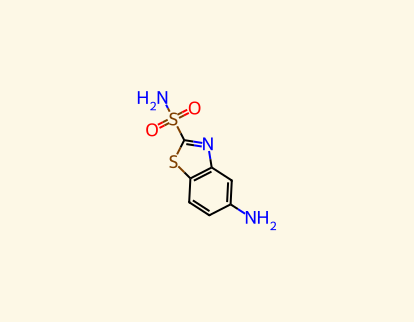 Nc1ccc2sc(S(N)(=O)=O)nc2c1